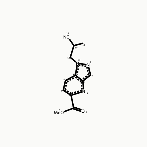 COC(=O)c1ccc2c(cnn2CC(C)C#N)n1